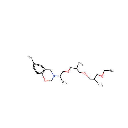 CCC(C)COCC(C)COCC(C)COCC(C)N1COc2ccc(C(C)(C)C)cc2C1